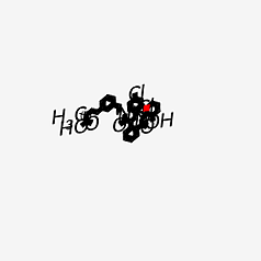 C[C@H](CCc1cccc(CCNC(=O)C2c3ccccc3C(=O)N(C3CCCCC3O)C2c2ccc(Cl)cc2Cl)c1)C(=O)O